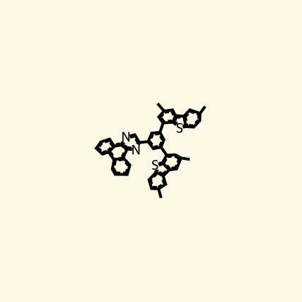 Cc1ccc2sc3c(-c4cc(-c5cnc6c7ccccc7c7ccccc7c6n5)cc(-c5cc(C)cc6c5sc5ccc(C)cc56)c4)cc(C)cc3c2c1